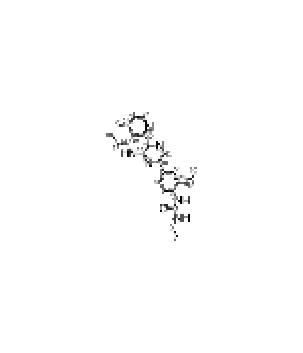 CCNC(=O)Nc1ccc(-c2cncc(NC(CC)c3cnccc3C)n2)cc1OC